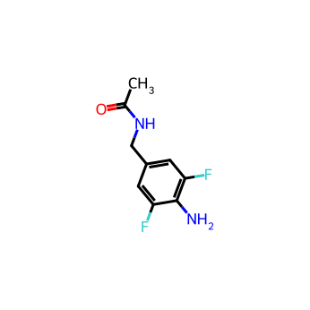 CC(=O)NCc1cc(F)c(N)c(F)c1